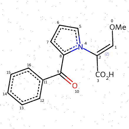 CO/C=C(/C(=O)O)n1cccc1C(=O)c1ccccc1